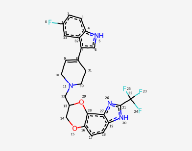 Fc1ccc2[nH]cc(C3=CCN(CC4COc5ccc6[nH]c(C(F)(F)F)nc6c5O4)CC3)c2c1